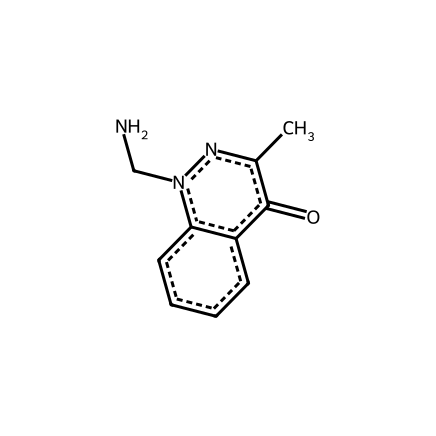 Cc1nn(CN)c2ccccc2c1=O